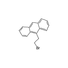 BrCCc1c2ccccc2cc2ccccc12